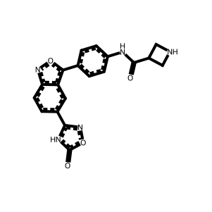 O=C(Nc1ccc(-c2onc3ccc(-c4noc(=O)[nH]4)cc23)cc1)C1CNC1